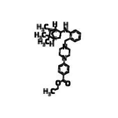 CCOC(=O)c1ccc(N2CCN(Cc3ccccc3NC3C[C@H]4C[C@@H]3[C@H](C)C4(C)C)CC2)cc1